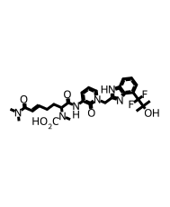 CN(C)C(=O)C=CCCC(C(=O)Nc1cccn(Cc2nc3c(C(F)(F)C(C)(C)O)cccc3[nH]2)c1=O)N(C)C(=O)O